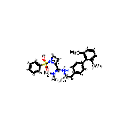 COc1cccc(OC)c1-c1ccc(C[C@H](NC(=NC#N)C2CCN2S(=O)(=O)c2ccccc2)C(=O)O)cc1